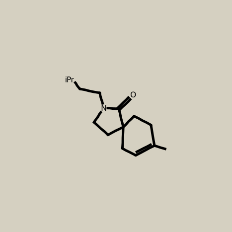 CC1=CCC2(CC1)CCN(CCC(C)C)C2=O